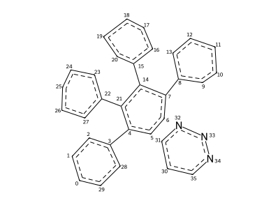 c1ccc(-c2ccc(-c3ccccc3)c(-c3ccccc3)c2-c2ccccc2)cc1.c1cnnnc1